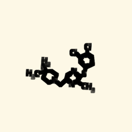 Cc1nc(CN2CCC(C)(N)CC2)cnc1Sc1ccc(Cl)c(Cl)c1